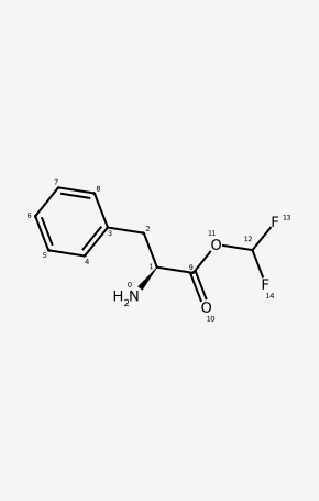 N[C@@H](Cc1ccccc1)C(=O)OC(F)F